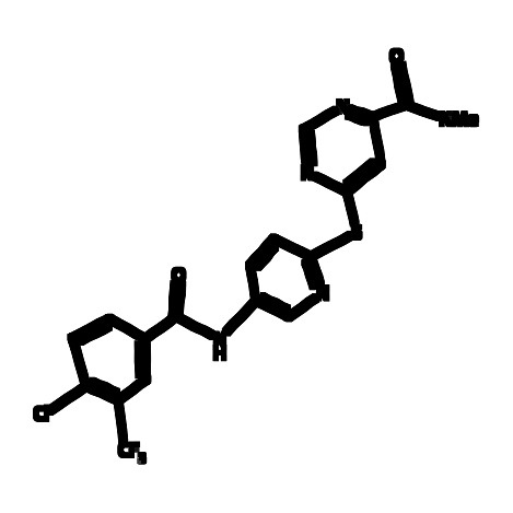 CNC(=O)c1cc(Sc2ccc(NC(=O)c3ccc(Cl)c(C(F)(F)F)c3)cn2)ncn1